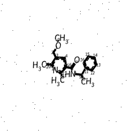 COCc1cc(C(=O)NC(C)c2ccccc2)c(C)nc1C